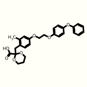 Cc1cc(OCCOc2ccc(Oc3ccccc3)cc2)ccc1CC1(C(=O)O)OCCCO1